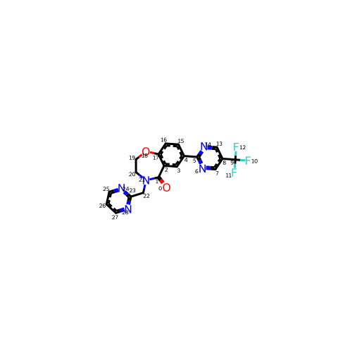 O=C1c2cc(-c3ncc(C(F)(F)F)cn3)ccc2OCCN1Cc1ncccn1